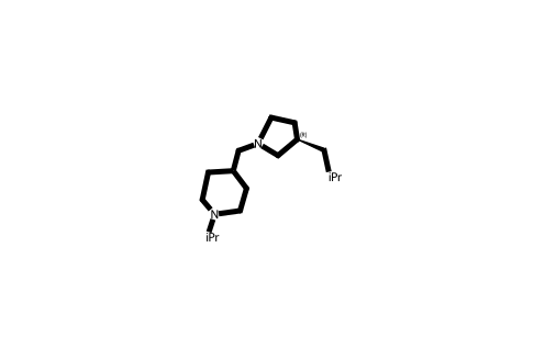 CC(C)C[C@@H]1CCN(CC2CCN(C(C)C)CC2)C1